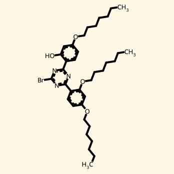 CCCCCCCOc1ccc(-c2nc(Br)nc(-c3ccc(OCCCCCCC)cc3OCCCCCCC)n2)c(O)c1